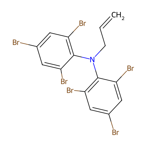 C=CCN(c1c(Br)cc(Br)cc1Br)c1c(Br)cc(Br)cc1Br